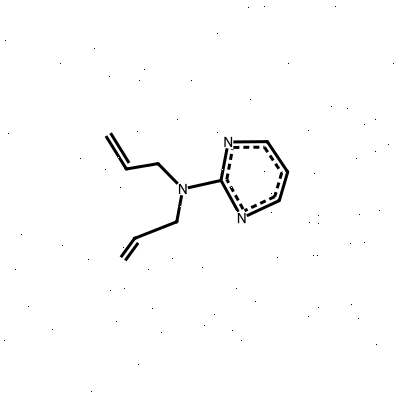 C=CCN(CC=C)c1ncccn1